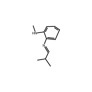 CNc1ccccc1/N=C/C(C)C